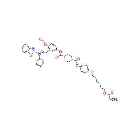 C=CC(=O)OCCCCCCOc1ccc(OC(=O)C2CCC(C(=O)Oc3ccc(OC=O)c(/C=N/N(c4ccccc4)c4nc5ccccc5s4)c3)CC2)cc1